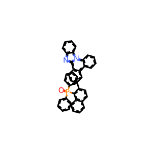 O=P(c1ccccc1)(c1ccccc1)c1c(-c2ccc3c(c2)c2ccccc2n2c4ccccc4nc32)ccc2ccccc12